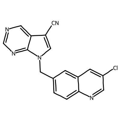 N#Cc1cn(Cc2ccc3ncc(Cl)cc3c2)c2ncncc12